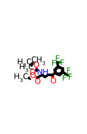 CCOC(=O)C(CCC(=O)c1cc(C(F)(F)F)cc(C(F)(F)F)c1)NC(=O)OC(C)(C)C